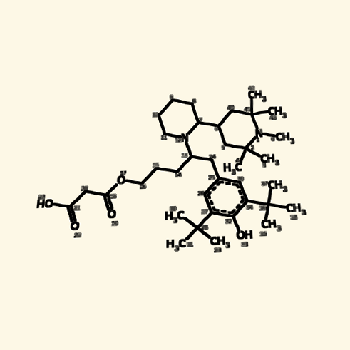 CN1C(C)(C)CC(C2CCCCN2C(CCCOC(=O)CC(=O)O)Cc2cc(C(C)(C)C)c(O)c(C(C)(C)C)c2)CC1(C)C